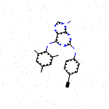 C#Cc1ccc(Nc2nc(Nc3c(C)cc(C#N)cc3C)c3ncn(C)c3n2)cc1